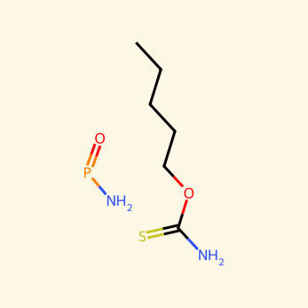 CCCCCOC(N)=S.NP=O